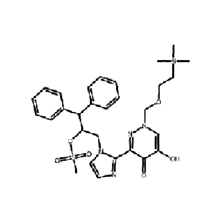 C[Si](C)(C)CCOCn1cc(O)c(=O)c(-c2nccn2CC(OS(C)(=O)=O)C(c2ccccc2)c2ccccc2)n1